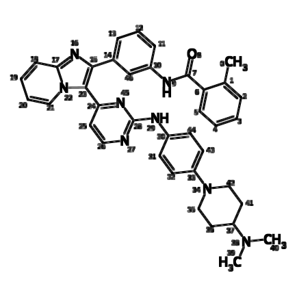 Cc1ccccc1C(=O)Nc1cccc(-c2nc3ccccn3c2-c2ccnc(Nc3ccc(N4CCC(N(C)C)CC4)cc3)n2)c1